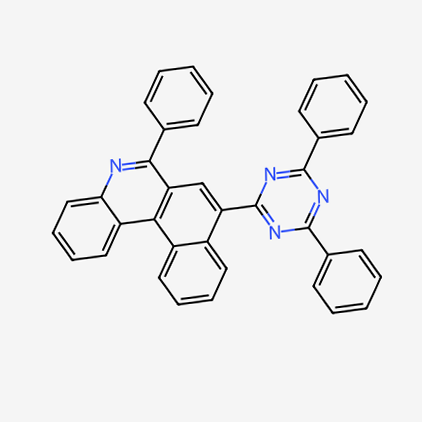 c1ccc(-c2nc(-c3ccccc3)nc(-c3cc4c(-c5ccccc5)nc5ccccc5c4c4ccccc34)n2)cc1